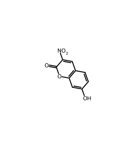 O=c1oc2cc(O)ccc2cc1[N+](=O)[O-]